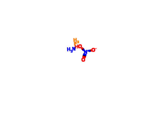 N.O=[N+]([O-])O.P